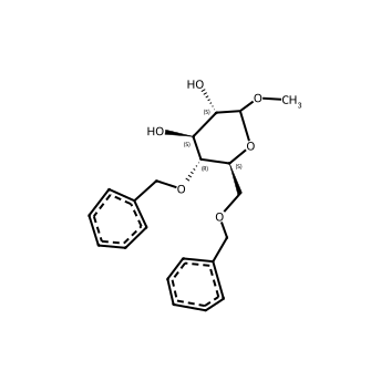 COC1O[C@@H](COCc2ccccc2)[C@H](OCc2ccccc2)[C@@H](O)[C@@H]1O